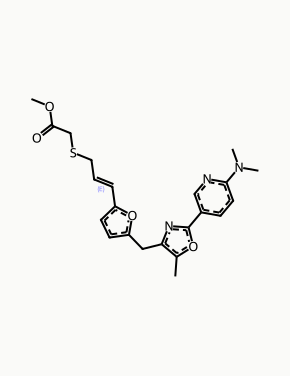 COC(=O)CSC/C=C/c1ccc(Cc2nc(-c3ccc(N(C)C)nc3)oc2C)o1